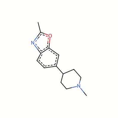 Cc1nc2ccc(C3CCN(C)CC3)cc2o1